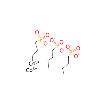 CCCCP(=O)([O-])[O-].CCCCP(=O)([O-])[O-].CCCCP(=O)([O-])[O-].[Co+3].[Co+3]